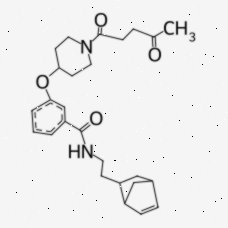 CC(=O)CCC(=O)N1CCC(Oc2cccc(C(=O)NCCC3CC4C=CC3C4)c2)CC1